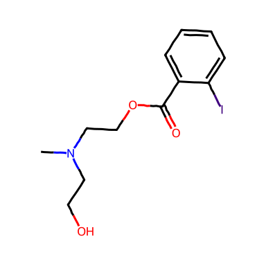 CN(CCO)CCOC(=O)c1ccccc1I